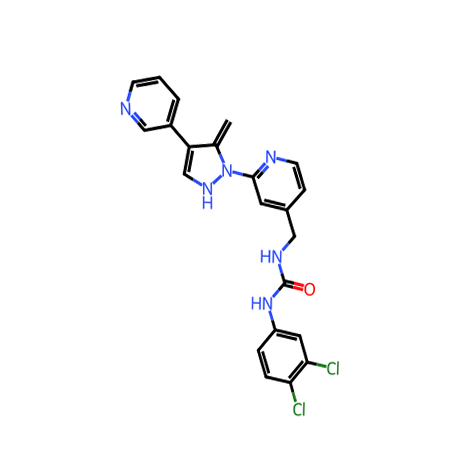 C=C1C(c2cccnc2)=CNN1c1cc(CNC(=O)Nc2ccc(Cl)c(Cl)c2)ccn1